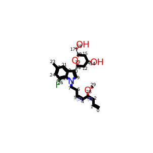 C=C/C=C(\C=C/CCn1cc([C@H]2C[C@@H](O)C[C@@H](CO)O2)c2cc(C)cc(F)c21)OC